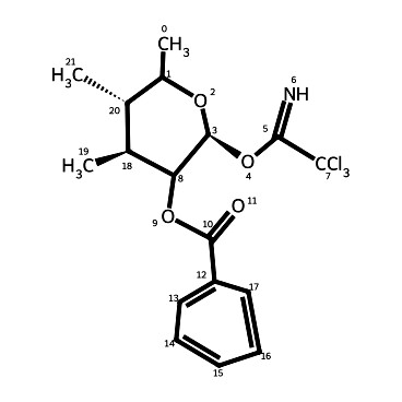 CC1O[C@@H](OC(=N)C(Cl)(Cl)Cl)C(OC(=O)c2ccccc2)[C@@H](C)[C@@H]1C